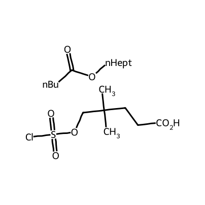 CC(C)(CCC(=O)O)COS(=O)(=O)Cl.CCCCCCCOC(=O)CCCC